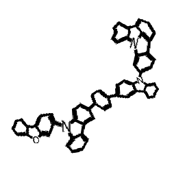 c1ccc2c(c1)oc1cc(-n3c4ccccc4c4cc(-c5ccc(-c6ccc7c(c6)c6ccccc6n7-c6ccc7c8cccc9c%10ccccc%10n(c7c6)c98)cc5)ccc43)ccc12